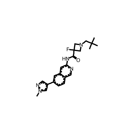 Cn1cc(-c2ccc3cnc(NC(=O)C4(F)CN(CC(C)(C)C)C4)cc3c2)cn1